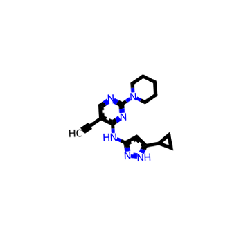 C#Cc1cnc(N2CCCCC2)nc1Nc1cc(C2CC2)[nH]n1